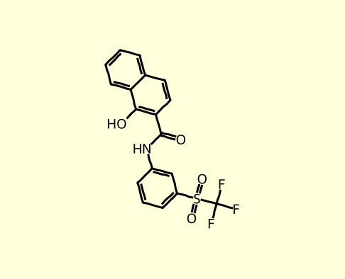 O=C(Nc1cccc(S(=O)(=O)C(F)(F)F)c1)c1ccc2ccccc2c1O